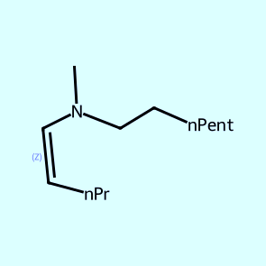 CCC/C=C\N(C)CCCCCCC